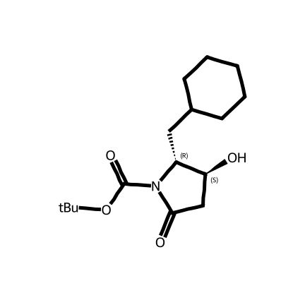 CC(C)(C)OC(=O)N1C(=O)C[C@H](O)[C@H]1CC1CCCCC1